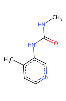 CNC(=O)Nc1cn[c]cc1C